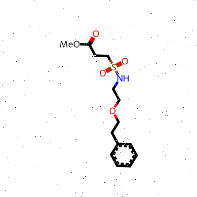 COC(=O)CCS(=O)(=O)NCCOCCc1ccccc1